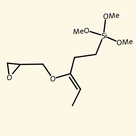 C/C=C(/CC[Si](OC)(OC)OC)OCC1CO1